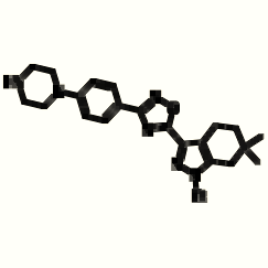 CCn1nc(-c2nc(-c3ccc(N4CCNCC4)cc3)no2)c2c1CC(C)(C)CC2